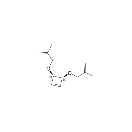 C=C(C)CO[C@H]1C=C[C@H]1OCC(=C)C